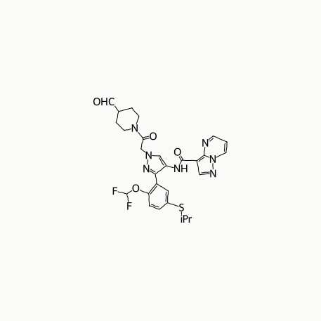 CC(C)Sc1ccc(OC(F)F)c(-c2nn(CC(=O)N3CCC(C=O)CC3)cc2NC(=O)c2cnn3cccnc23)c1